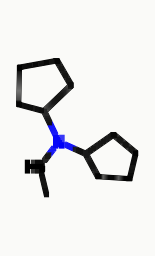 CBN(C1CCCC1)C1CCCC1